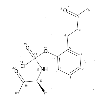 CC(=O)CCc1ccccc1OP(=O)(Cl)N[C@@H](C)C(C)=O